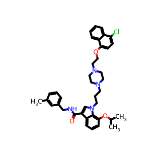 Cc1cccc(CNC(=O)c2cn(CCCN3CCN(CCOc4ccc(Cl)c5ccccc45)CC3)c3c(OC(C)C)cccc23)c1